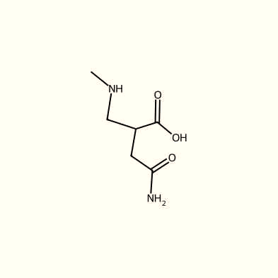 CNCC(CC(N)=O)C(=O)O